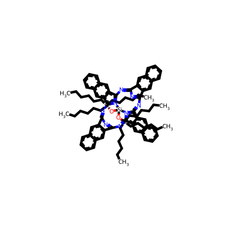 CCCCCC[Si](CCCCCC)(CCCCCC)O[Si]1(O[Si](CCCCCC)(CCCCCC)CCCCCC)n2c3c4cc5ccccc5cc4c2N=C2N=C(N=c4c5cc6ccccc6cc5c(n41)=NC1=NC(=N3)c3cc4ccccc4cc31)c1cc3ccccc3cc12